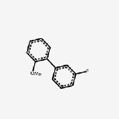 COc1[c]cccc1-c1cccc(F)c1